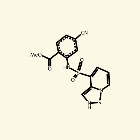 COC(=O)c1ccc(C#N)cc1NS(=O)(=O)C1=CC=CN2SNC=C12